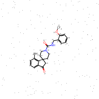 Bc1cccc2c1C1(CCN(C(=O)NCc3ccccc3OC(F)(F)F)CC1)CC2=O